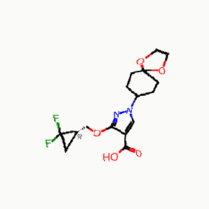 O=C(O)c1cn(C2CCC3(CC2)OCCO3)nc1OC[C@@H]1CC1(F)F